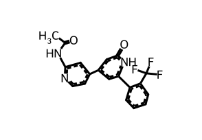 CC(=O)Nc1cc(-c2cc(-c3ccccc3C(F)(F)F)[nH]c(=O)c2)ccn1